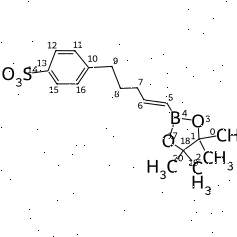 CC1(C)OB(C=CCCCc2ccc(S(=O)(=O)O)cc2)OC1(C)C